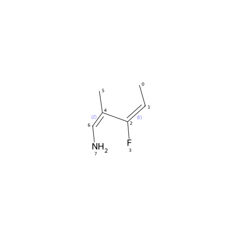 C/C=C(F)\C(C)=C/N